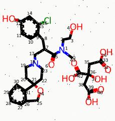 CN(CCO)C(=O)C(Cc1ccc(O)cc1Cl)CN1CCC2(CC1)OCc1ccccc12.O=C(O)CC(O)(CC(=O)O)C(=O)O